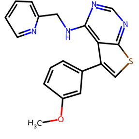 COc1cccc(-c2csc3ncnc(NCc4ccccn4)c23)c1